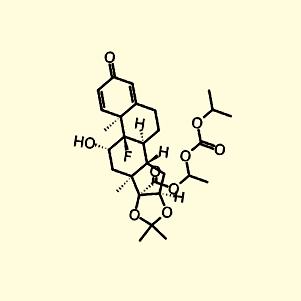 CC(C)OC(=O)OC(C)OC(=O)[C@@]12OC(C)(C)O[C@@H]1C[C@H]1[C@@H]3CCC4=CC(=O)C=C[C@]4(C)[C@@]3(F)[C@@H](O)C[C@@]12C